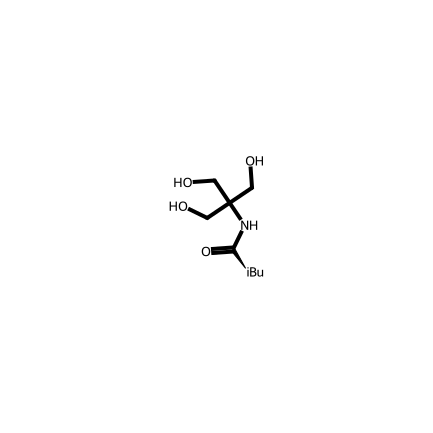 CC[C@H](C)C(=O)NC(CO)(CO)CO